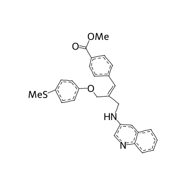 COC(=O)c1ccc(C=C(CNc2cnc3ccccc3c2)COc2ccc(SC)cc2)cc1